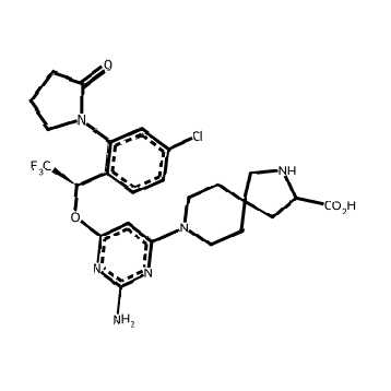 Nc1nc(O[C@H](c2ccc(Cl)cc2N2CCCC2=O)C(F)(F)F)cc(N2CCC3(CC2)CNC(C(=O)O)C3)n1